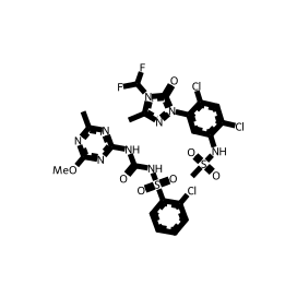 COc1nc(C)nc(NC(=O)NS(=O)(=O)c2ccccc2Cl)n1.Cc1nn(-c2cc(NS(C)(=O)=O)c(Cl)cc2Cl)c(=O)n1C(F)F